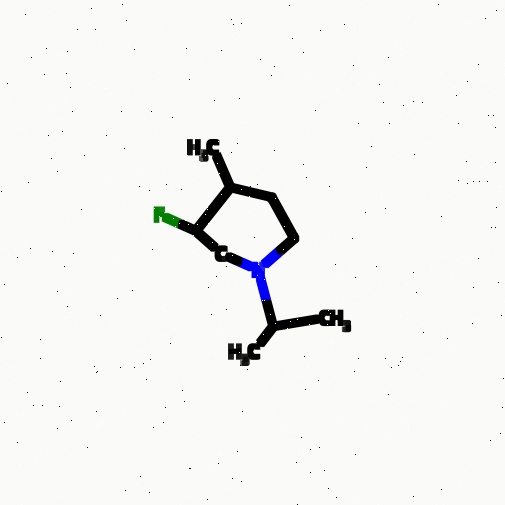 CC1CCN(C(C)C)CC1F